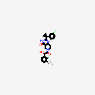 O=C(C(O)c1cccc(C(F)(F)F)c1F)N1CCc2nc(C3(c4cccc(Cl)c4)CC3)[nH]c(=O)c2C1